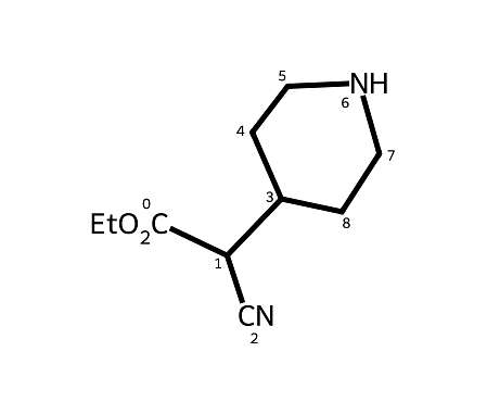 CCOC(=O)C(C#N)C1CCNCC1